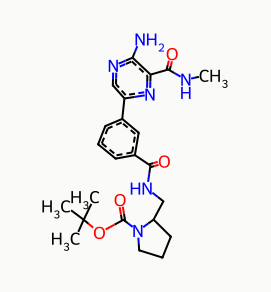 CNC(=O)c1nc(-c2cccc(C(=O)NCC3CCCN3C(=O)OC(C)(C)C)c2)cnc1N